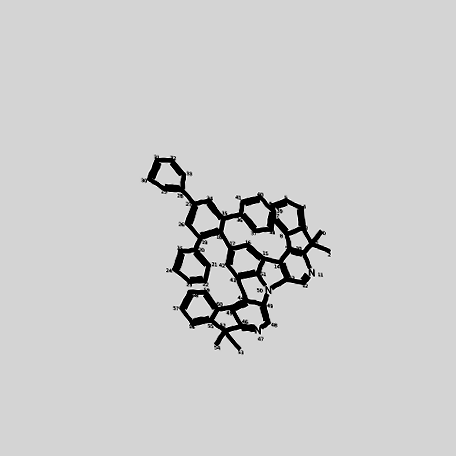 CC1(C)c2ccccc2-c2c1ncc1c2c2cc(-c3c(-c4ccccc4)cc(-c4ccccc4)cc3-c3ccccc3)cc3c4c5c(ncc4n1c23)C(C)(C)c1ccccc1-5